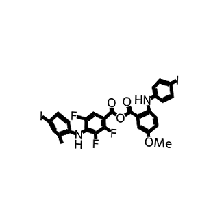 COc1ccc(Nc2ccc(I)cc2)c(C(=O)OC(=O)c2cc(F)c(Nc3ccc(I)cc3C)c(F)c2F)c1